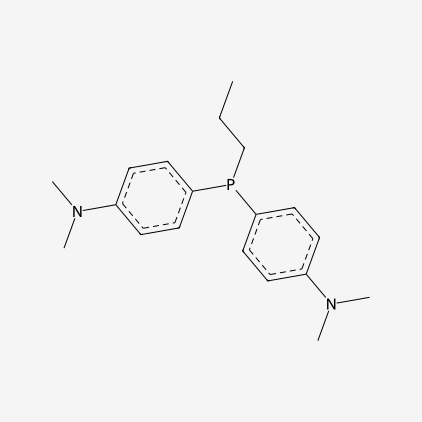 CCCP(c1ccc(N(C)C)cc1)c1ccc(N(C)C)cc1